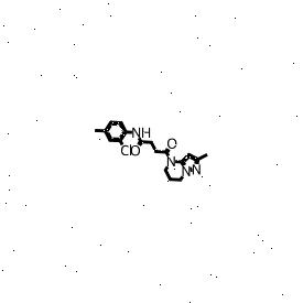 Cc1ccc(NC(=O)CCC(=O)N2CCCn3nc(C)cc32)c(Cl)c1